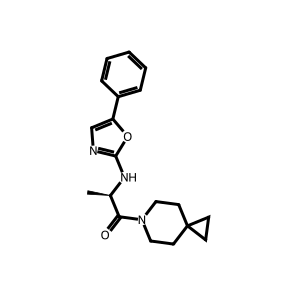 C[C@@H](Nc1ncc(-c2ccccc2)o1)C(=O)N1CCC2(CC1)CC2